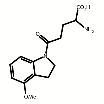 COc1cccc2c1CCN2C(=O)CCC(N)C(=O)O